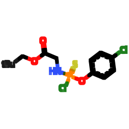 CC(C)(C)COC(=O)CNP(=S)(Cl)Oc1ccc(Cl)cc1